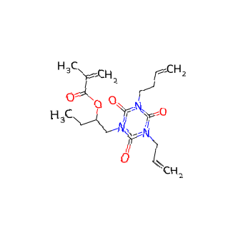 C=CCCn1c(=O)n(CC=C)c(=O)n(CC(CC)OC(=O)C(=C)C)c1=O